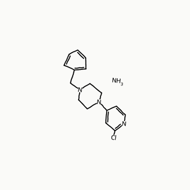 Clc1cc(N2CCN(Cc3ccccc3)CC2)ccn1.N